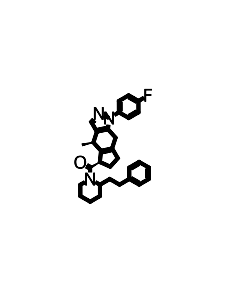 C[C@@H]1C2=C(CC[C@H]2C(=O)N2CCCCC2CCc2ccccc2)Cc2c1cnn2-c1ccc(F)cc1